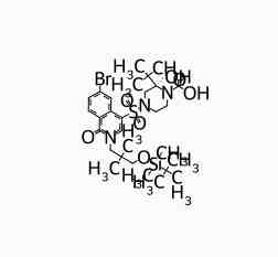 CC(C)(CO[Si](C)(C)C(C)(C)C)Cn1cc(S(=O)(=O)N2CCN(C(=O)O)[C@](CO)(C(C)(C)C)C2)c2cc(Br)ccc2c1=O